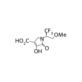 COC[C@@H](N1CC(C(=O)O)=C(O)C1=O)C(F)(F)F